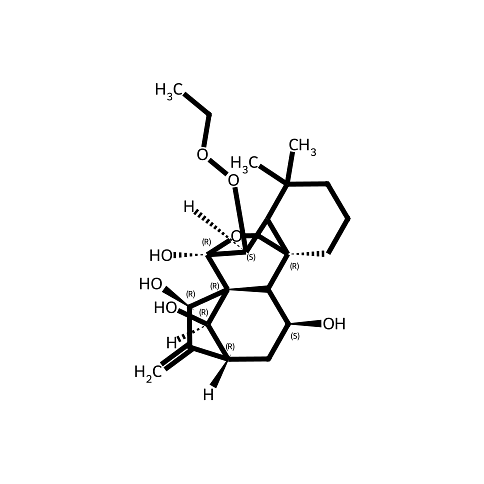 C=C1[C@H]2C[C@H](O)C3[C@]45CCCC(C)(C)C4[C@H](OOCC)[C@](O)(OC5)[C@@]3([C@@H]1O)[C@@H]2O